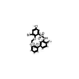 O=C(O)COc1c(Br)cc(Cl)cc1S(=O)(=O)Nc1cc(-c2ccccc2)ccc1F